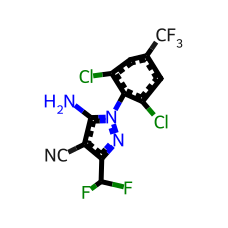 N#Cc1c(C(F)F)nn(-c2c(Cl)cc(C(F)(F)F)cc2Cl)c1N